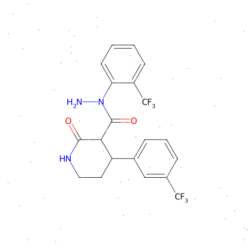 NN(C(=O)C1C(=O)NCCC1c1cccc(C(F)(F)F)c1)c1ccccc1C(F)(F)F